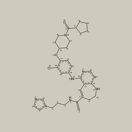 O=C(NCCCn1ccnc1)C1=Cc2c(ncnc2Nc2ccc(OC3CCN(C(=O)C4CCCC4)CC3)c(Cl)c2)NCC1